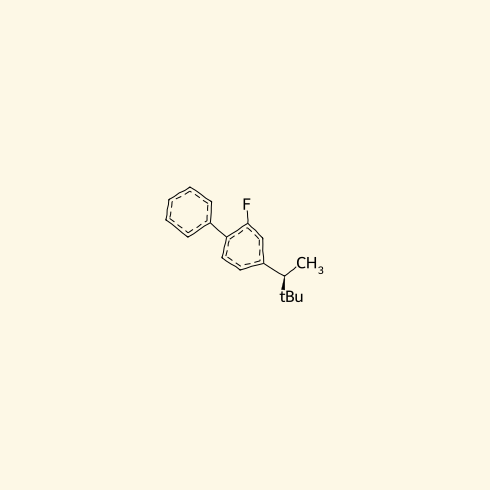 C[C@H](c1ccc(-c2ccccc2)c(F)c1)C(C)(C)C